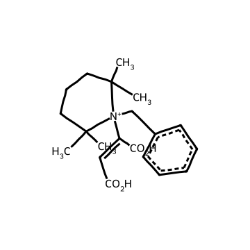 CC1(C)CCCC(C)(C)[N+]1(Cc1ccccc1)/C(=C/C(=O)O)C(=O)O